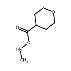 CNOC(=O)C1CCOCC1